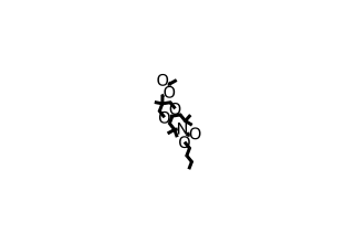 CCCCOC(=O)N1C(C)(C)CC2(CC1(C)C)OCC(C)(COC(C)=O)CO2